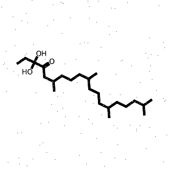 CCC(O)(O)C(=O)CC(C)CCCC(C)CCCC(C)CCCC(C)C